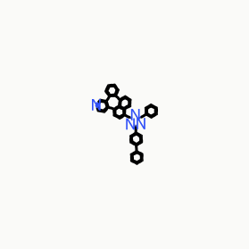 c1ccc(-c2ccc(-c3nc(-c4ccccc4)nc(-c4ccc5c6c(cccc46)-c4ccccc4-c4cnccc4-5)n3)cc2)cc1